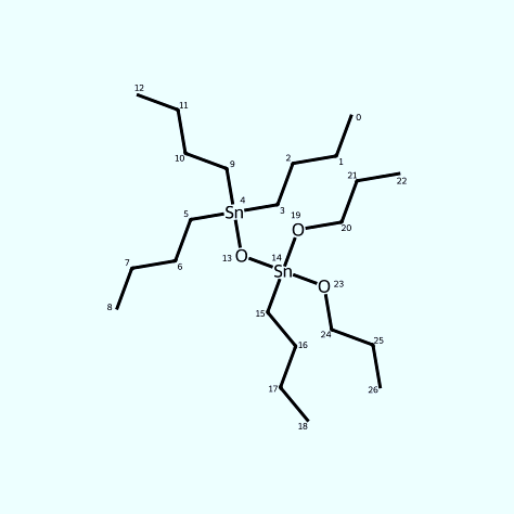 CCC[CH2][Sn]([CH2]CCC)([CH2]CCC)[O][Sn]([CH2]CCC)([O]CCC)[O]CCC